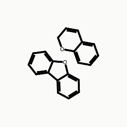 C1=Cc2ccccc2OC1.c1ccc2c(c1)oc1ccccc12